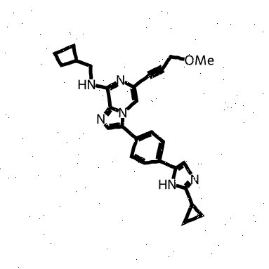 COCC#Cc1cn2c(-c3ccc(-c4cnc(C5CC5)[nH]4)cc3)cnc2c(NCC2CCC2)n1